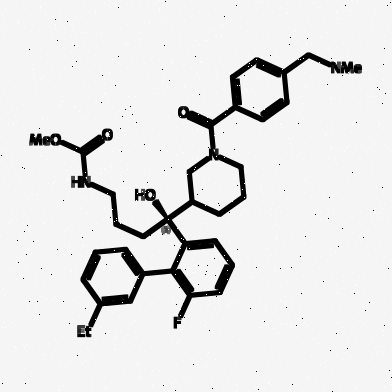 CCc1cccc(-c2c(F)cccc2[C@](O)(CCCNC(=O)OC)C2CCCN(C(=O)c3ccc(CNC)cc3)C2)c1